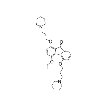 CCOc1ccc(OCCCN2CCCCC2)c2c1-c1c(OCCCN3CCCCC3)cccc1C2=O